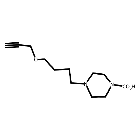 C#CCOCCCCN1CCN(C(=O)O)CC1